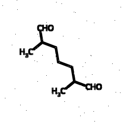 CC(C=O)CCCC(C)C=O